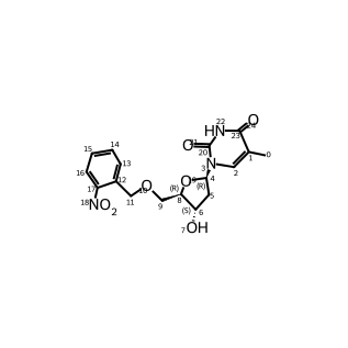 Cc1cn([C@H]2C[C@H](O)[C@@H](COCc3ccccc3[N+](=O)[O-])O2)c(=O)[nH]c1=O